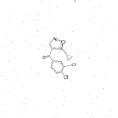 O=C(c1ccc(Cl)c(Cl)c1)c1cnoc1C1CC1